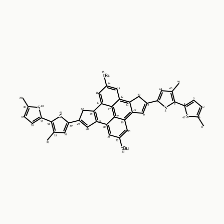 Cc1ccc(-c2sc(C3=Cc4c(c5cc(C(C)(C)C)cc6c7c(c8cc(C(C)(C)C)cc4c8c56)C=C(c4cc(C)c(-c5ccc(C)s5)s4)C7)C3)cc2C)s1